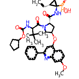 C=C[C@@H]1C[C@]1(NC(=O)[C@@H]1C[C@@H](Oc2cc(-c3ccccc3)nc3cc(OC)ccc23)CN1C(=O)C(NC(=O)OC1CCCC1)C(C)(C)C)[PH](=O)O